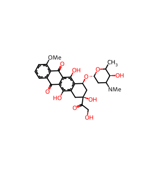 CNC1C[C@H](O[C@H]2C[C@](O)(C(=O)CO)Cc3c(O)c4c(c(O)c32)C(=O)c2c(OC)cccc2C4=O)OC(C)[C@H]1O